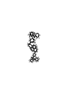 c1ccc(N(c2ccc(-c3ccc4ccc5c(-c6ccc(-c7nc8ccccc8n7-c7ccccc7)cc6)ccc6ccc3c4c65)cc2)c2ncccn2)cc1